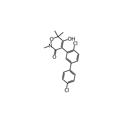 CN1OC(C)(C)C(O)=C(c2cc(-c3ccc(Cl)cc3)ccc2Cl)C1=O